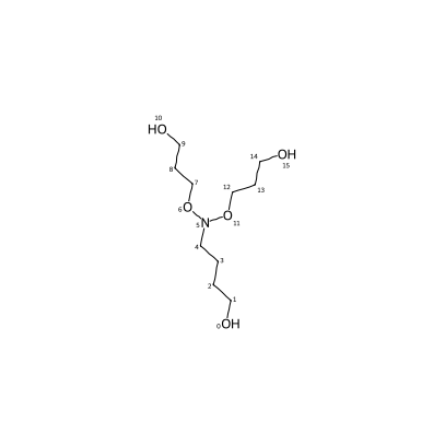 OCCCCN(OCCCO)OCCCO